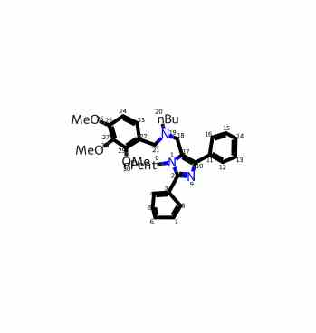 CCCCCn1c(-c2ccccc2)nc(-c2ccccc2)c1CN(CCCC)Cc1ccc(OC)c(OC)c1OC